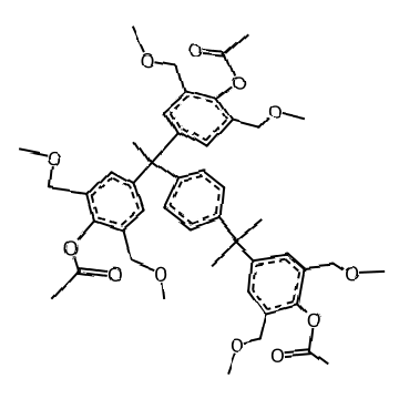 COCc1cc(C(C)(C)c2ccc(C(C)(c3cc(COC)c(OC(C)=O)c(COC)c3)c3cc(COC)c(OC(C)=O)c(COC)c3)cc2)cc(COC)c1OC(C)=O